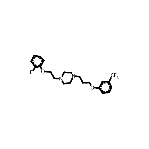 Fc1ccccc1OCCN1CCN(CCCOc2cccc(C(F)(F)F)c2)CC1